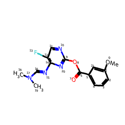 COc1cccc(C(=O)Oc2ncc(F)c(/N=C/N(C)C)n2)c1